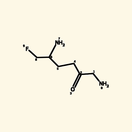 NCC(=O)CCC(N)CF